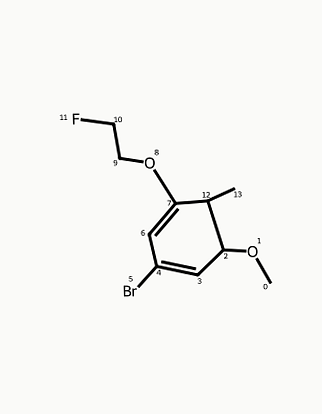 COC1C=C(Br)C=C(OCCF)C1C